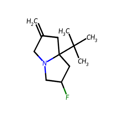 C=C1CN2CC(F)CC2(C(C)(C)C)C1